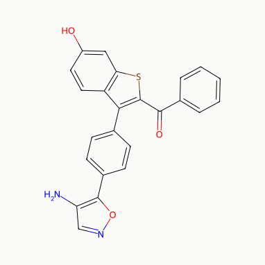 Nc1cnoc1-c1ccc(-c2c(C(=O)c3ccccc3)sc3cc(O)ccc23)cc1